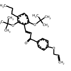 C=CCOc1ccc(C(=O)C=Cc2c(OC(C)(C)C)ccc(CCC)c2OC(C)(C)C)cc1